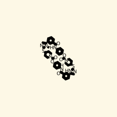 Cn1ccnc1SC1CCN(C(=O)Oc2ccc(NC(=O)c3ccccc3)cc2)CC1.O=C(Nc1ccc(OC(=O)N2CCC(Sc3ncc[nH]3)CC2)cc1)c1ccccc1